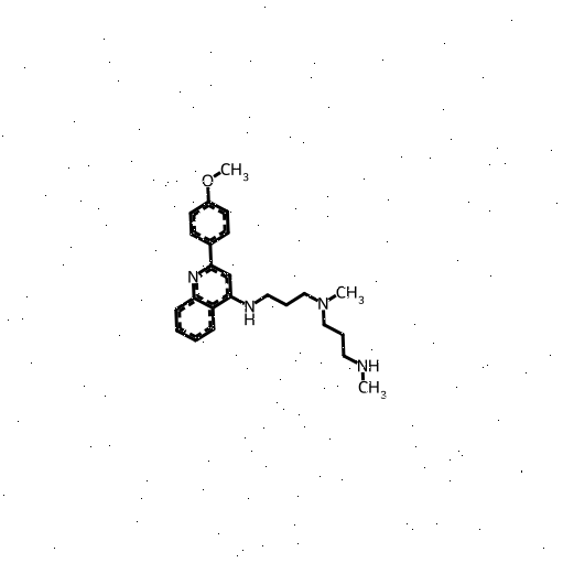 CNCCCN(C)CCCNc1cc(-c2ccc(OC)cc2)nc2ccccc12